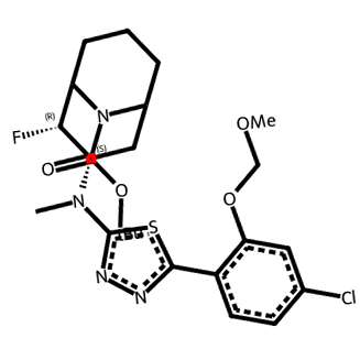 COCOc1cc(Cl)ccc1-c1nnc(N(C)[C@H]2CC3CCCC([C@H]2F)N3C(=O)OC(C)(C)C)s1